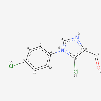 O=Cc1ncn(-c2ccc(Cl)cc2)c1Cl